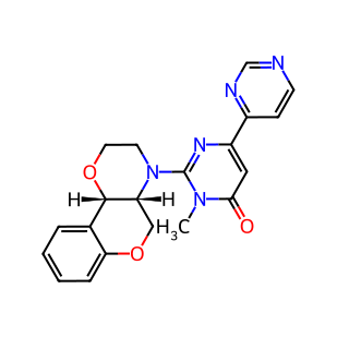 Cn1c(N2CCO[C@H]3c4ccccc4OC[C@H]32)nc(-c2ccncn2)cc1=O